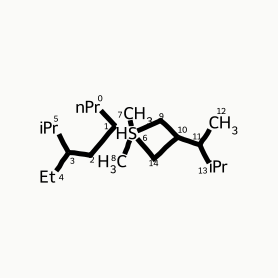 CCCC(CC(CC)C(C)C)[SH]1(C)(C)CC(C(C)C(C)C)C1